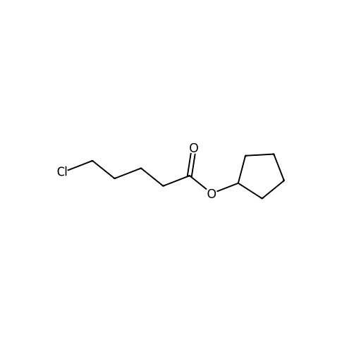 O=C(CCCCCl)OC1CCCC1